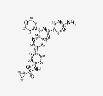 Nc1ncc(-c2nc(N3CCOCC3)c3ncc(-c4ccc(NS(=O)(=O)C5CC5)cc4)cc3n2)cn1